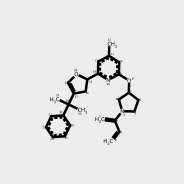 C=CC(=C)N1CCC(Oc2cc(C)cc(C3CC(C(C)(C)c4ccccc4)=CO3)n2)C1